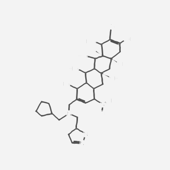 CC(=O)C1=C(O)C[C@]2(C)C[C@]3(C)CC4C(C(O)C(CN(CC5CCCC5)CC5CC=NN5)=CC4N(C)C)C(O)C3C(O)[C@]2(O)C1O